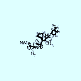 CNC(=O)C(C)(C)NC(=O)C(=O)c1c(C)c(C(=O)Nc2ccc(F)c(C(F)F)c2)n2c1CCC2